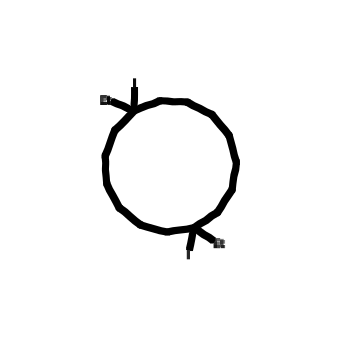 CCC1(I)CCCCCCCC(I)(CC)CCCCCC1